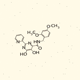 COc1ccc(CNC(=O)c2nc(-c3ccccn3)nc(O)c2O)c(OC)c1